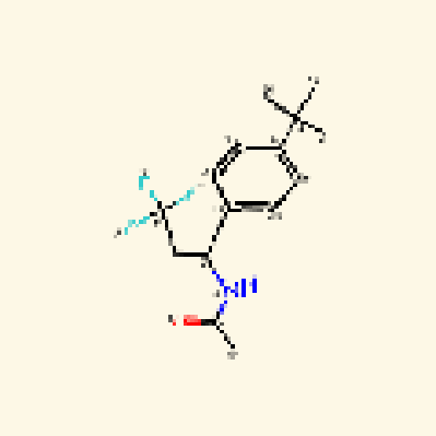 CC(=O)NC(CC(F)(F)F)c1ccc(C(C)(C)C)cc1